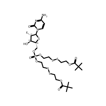 CC(C)(C)C(=O)OCCSSCCOP(=O)(OCCSSCCOC(=O)C(C)(C)C)OC[C@H]1SC(n2ccc(N)nc2=O)[C@@H](F)[C@@H]1O